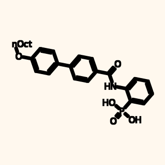 CCCCCCCCOc1ccc(-c2ccc(C(=O)Nc3ccccc3P(=O)(O)O)cc2)cc1